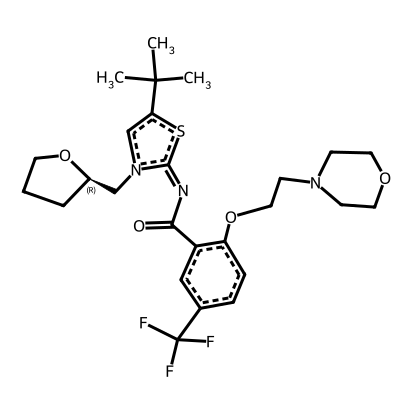 CC(C)(C)c1cn(C[C@H]2CCCO2)c(=NC(=O)c2cc(C(F)(F)F)ccc2OCCN2CCOCC2)s1